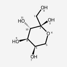 OC[C@]1(O)OC[C@@H](O)[C@@H](O)[C@@H]1O